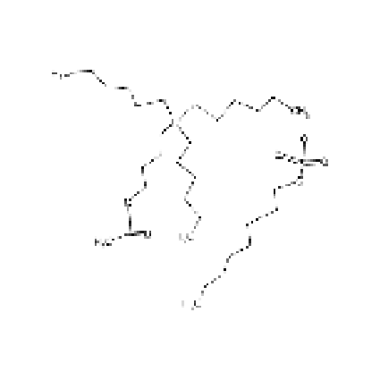 CCCCCCCCOS(=O)(=O)[O-].CCCCCC[P+](CCCCCC)(CCCCCC)CCCCOC(C)=O